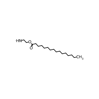 CCCCCCCCCCCCCCCC(=O)OCC[NH]